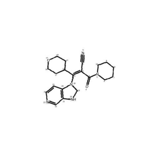 N#CC(C(=O)N1CCCCC1)=C(C1CCOCC1)N1CNc2cnccc21